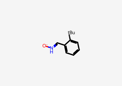 CC(C)(C)c1ccccc1C=[NH+][O-]